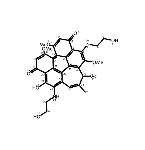 COc1c(NCCO)c2c(=O)cc(OC)c3c4c(OC)cc(=O)c5c(O)c(NCCO)c6c(c(c1C(C(C)=O)C(C)=C6)c23)c54